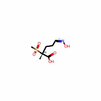 C[C@@](CC/C=N\O)(C(=O)O)S(C)(=O)=O